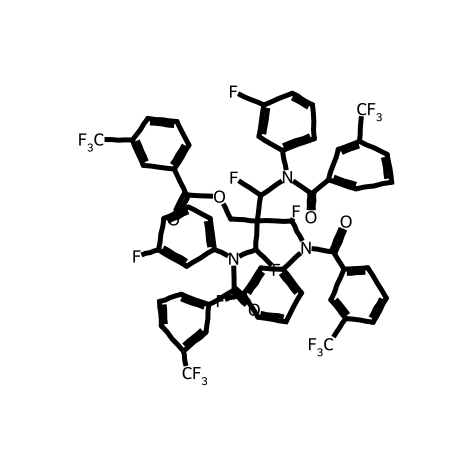 O=C(OCC(C(F)N(C(=O)c1cccc(C(F)(F)F)c1)c1cccc(F)c1)(C(F)N(C(=O)c1cccc(C(F)(F)F)c1)c1cccc(F)c1)C(F)N(C(=O)c1cccc(C(F)(F)F)c1)c1cccc(F)c1)c1cccc(C(F)(F)F)c1